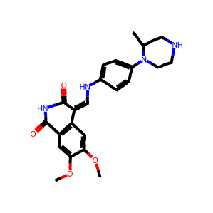 COc1cc2c(cc1OC)C(=CNc1ccc(N3CCNCC3C)cc1)C(=O)NC2=O